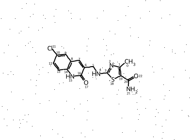 Cc1nc(NCc2cc3cc(Cl)ccc3[nH]c2=O)sc1C(N)=O